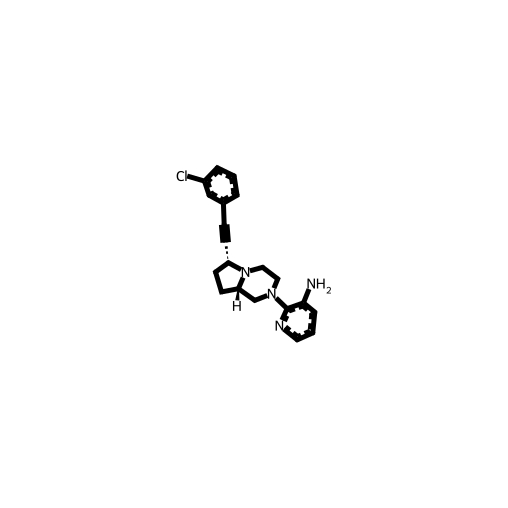 Nc1cccnc1N1CCN2[C@@H](CC[C@@H]2C#Cc2cccc(Cl)c2)C1